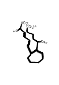 CCCCCCCCC(/C=C/C=C/C1CCCCCC1C(CCCC(=O)O)OC(C)=O)OC(C)=O